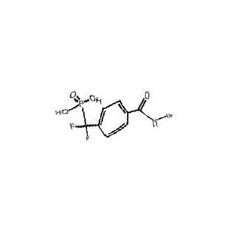 O=C(NBr)c1ccc(C(F)(F)P(=O)(O)O)cc1